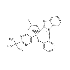 CC(C)(O)c1ncc(C2(C(=O)O)Sc3ccccc3C3CC2(OC(F)F)c2nc4ccccc4n23)cn1